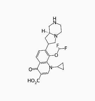 O=C(O)c1cn(C2CC2)c2c(OC(F)F)c(C3C[C@H]4CNCCN4C3)ccc2c1=O